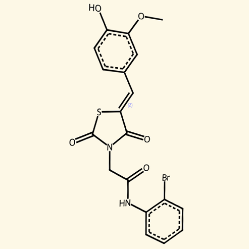 COc1cc(/C=C2\SC(=O)N(CC(=O)Nc3ccccc3Br)C2=O)ccc1O